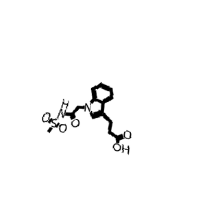 CS(=O)(=O)NC(=O)Cn1cc(CCC(=O)O)c2ccccc21